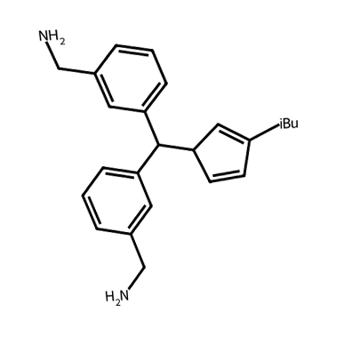 CCC(C)C1=C[C](C(c2cccc(CN)c2)c2cccc(CN)c2)C=C1